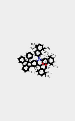 Cc1ccc2c(c1-c1cc3c(cc1N(c1ccc4c(c1)C(C)(C)CCC4(C)C)c1ccc4c(c1)C(C)(C)CCC4(C)C)C(c1ccccc1)(c1ccccc1)c1ccccc1-3)C(C)(C)CCC2(C)C